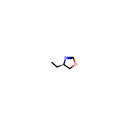 CC[C@@H]1COC=N1